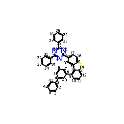 c1ccc(-c2cccc(-c3cccc4sc5ccc(-c6nc(-c7ccccc7)nc(-c7ccccc7)n6)cc5c34)c2)cc1